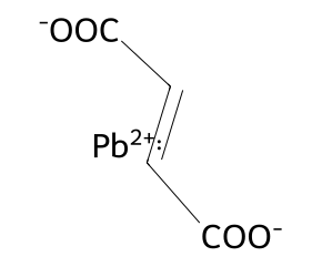 O=C([O-])/C=C/C(=O)[O-].[Pb+2]